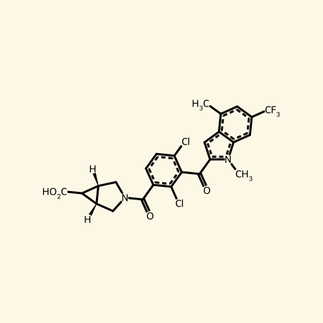 Cc1cc(C(F)(F)F)cc2c1cc(C(=O)c1c(Cl)ccc(C(=O)N3C[C@@H]4C(C(=O)O)[C@@H]4C3)c1Cl)n2C